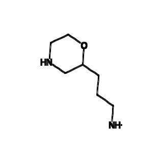 [NH]CCCC1CNCCO1